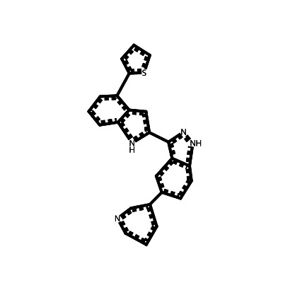 c1cncc(-c2ccc3[nH]nc(-c4cc5c(-c6cccs6)cccc5[nH]4)c3c2)c1